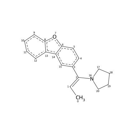 CC=C(c1ccc2oc3ccccc3c2c1)N1CCCC1